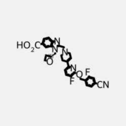 N#Cc1ccc(COc2nc(C3=CCN(Cc4nc5ccc(C(=O)O)cc5n4C[C@@H]4CCO4)CC3)ccc2F)c(F)c1